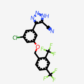 N#Cc1[nH]nnc1-c1cc(Cl)cc(OCc2ccc(C(F)(F)F)cc2C(F)(F)F)c1